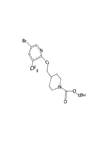 CC(C)(C)OC(=O)N1CCC(COc2ncc(Br)cc2C(F)(F)F)CC1